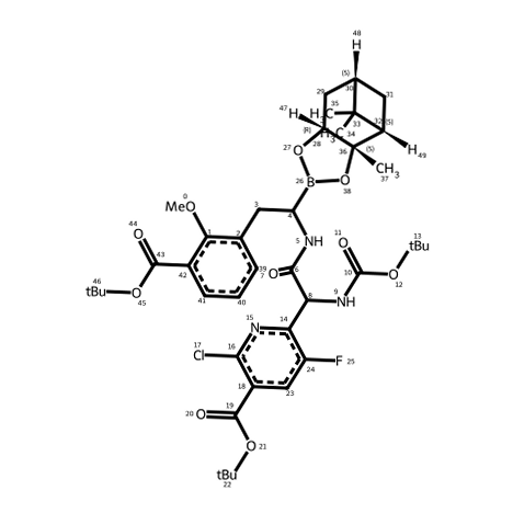 COc1c(CC(NC(=O)C(NC(=O)OC(C)(C)C)c2nc(Cl)c(C(=O)OC(C)(C)C)cc2F)B2O[C@@H]3C[C@@H]4C[C@@H](C4(C)C)[C@]3(C)O2)cccc1C(=O)OC(C)(C)C